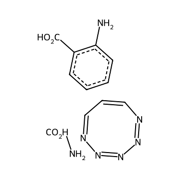 C1=CN=NN=NN=C1.NC(=O)O.Nc1ccccc1C(=O)O